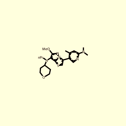 CCCN(c1c(OC)nn2c(-c3cnc(N(C)C)cc3C)csc12)C1CCOCC1